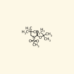 CC(C)(C)CN(C(=O)OC(C)(C)C)S(C)(=O)=O